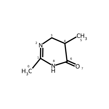 CC1=NCC(C)C(=O)N1